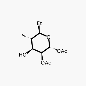 CC[C@H]1O[C@H](OC(C)=O)[C@@H](OC(C)=O)[C@@H](O)[C@@H]1C